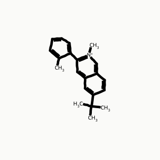 Cc1ccccc1-c1cc2cc(C(C)(C)C)ccc2c[n+]1C